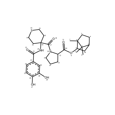 CC1(C)C2CCC1(C)C(OC(=O)C1CCCN1C(=O)C1(NC(=O)c3ccc(O)c(O)c3)CCSCC1)C2